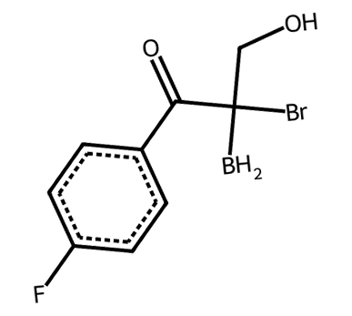 BC(Br)(CO)C(=O)c1ccc(F)cc1